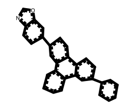 c1ccc(-c2ccc3c4ccc(-c5ccc6ncoc6c5)cc4c4ccccc4c3c2)cc1